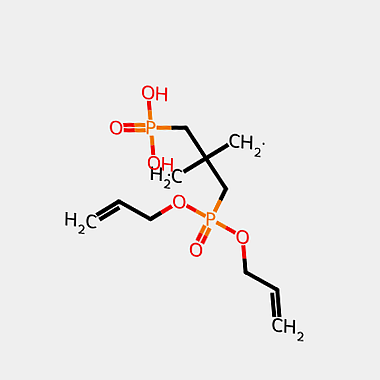 [CH2]C([CH2])(CP(=O)(O)O)CP(=O)(OCC=C)OCC=C